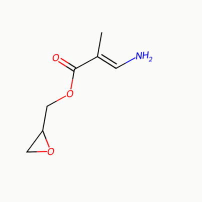 CC(=CN)C(=O)OCC1CO1